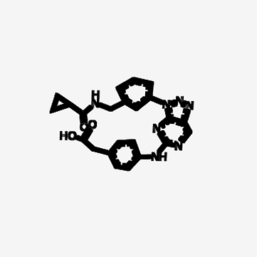 O=C(O)Cc1ccc(Nc2ncc3nnn(-c4cccc(CNC(=O)C5CC5)c4)c3n2)cc1